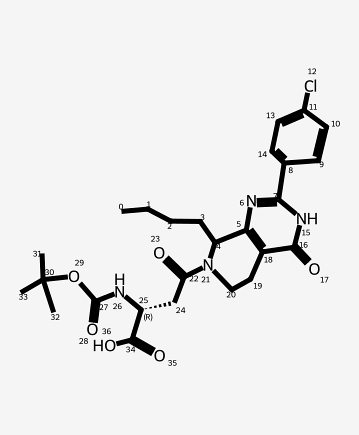 CCCCC1c2nc(-c3ccc(Cl)cc3)[nH]c(=O)c2CCN1C(=O)C[C@@H](NC(=O)OC(C)(C)C)C(=O)O